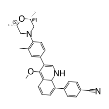 COC1=C2C=CC=C(c3ccc(C#N)cc3)C2NC=C1c1ccc(N2C[C@@H](C)O[C@@H](C)C2)c(C)c1